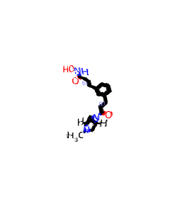 CN1C[C@@H]2C[C@H]1CN2C(=O)/C=C/c1cccc(/C=C/C(=O)NO)c1